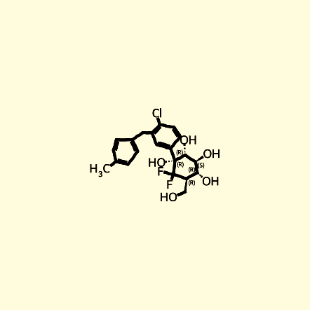 Cc1ccc(Cc2cc([C@@]3(O)[C@H](O)[C@@H](O)[C@H](O)[C@@H](CO)C3(F)F)ccc2Cl)cc1